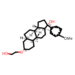 COc1ccc([C@]2(O)CC[C@H]3[C@@H]4CC[C@@H]5C[C@@H](OCCO)CC[C@]5(C)[C@H]4CC[C@@]32C)cc1